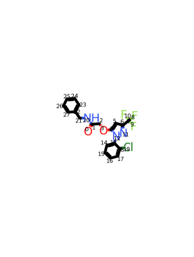 O=C(COc1cc(C(F)(F)F)nn1-c1ccccc1Cl)NCc1ccccc1